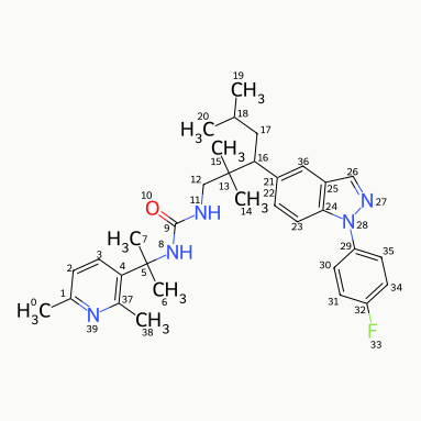 Cc1ccc(C(C)(C)NC(=O)NCC(C)(C)C(CC(C)C)c2ccc3c(cnn3-c3ccc(F)cc3)c2)c(C)n1